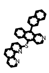 c1ccc2cc(-c3c4ccccc4c(Sc4ccc5ccc6cccnc6c5n4)c4ccncc34)ccc2c1